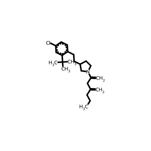 C=C(CCC)CC(=C)N1CCC(CCc2ccc(Cl)cc2C(C)(C)C)C1